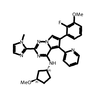 COc1cccc(-c2cn3nc(-c4nccn4C)nc(N[C@@H]4CC[C@@H](OC)C4)c3c2-c2ccccn2)c1F